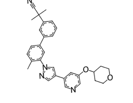 Cc1ccc(-c2cccc(C(C)(C)C#N)c2)cc1-n1cc(-c2cncc(OC3CCOCC3)c2)cn1